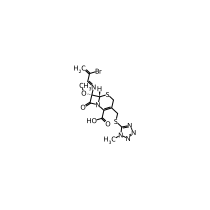 C=C(Br)C=N[C@]1(OC)C(=O)N2C(C(=O)O)=C(CSc3nnnn3C)CS[C@H]21